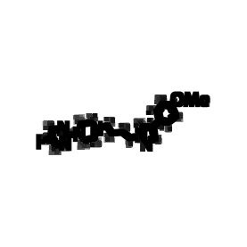 COc1ccc(-c2cnn(CCCCN3CCN(c4ncc(F)cn4)CC3)c2)cc1